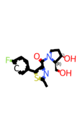 Cc1nc(C(=O)N2CC[C@H](O)[C@H]2CO)c(-c2ccc(F)cc2)s1